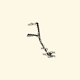 CCCCCCCC/C=C\CCCCCCCCOCC(COCCOCCOCCOCCNC(=O)CCS[C@H]1OC(CO)[C@@H](O)C(O)C1O)OCCCCCCCC/C=C\CCCCCCCC